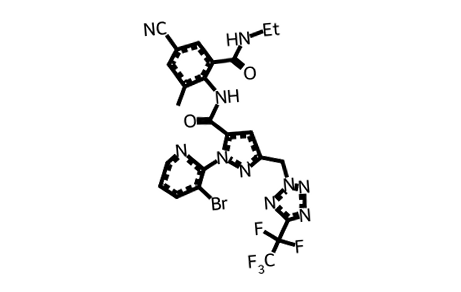 CCNC(=O)c1cc(C#N)cc(C)c1NC(=O)c1cc(Cn2nnc(C(F)(F)C(F)(F)F)n2)nn1-c1ncccc1Br